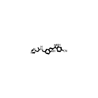 CC(Cn1cncn1)[AsH]Cc1ccc2[nH]c(-c3n[nH]c4cc(C#N)ccc34)cc2c1